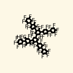 Cc1c(F)c(-c2c(F)c(-c3c(F)c(F)c(-c4c(F)c(F)c(F)c(F)c4F)c(F)c3F)c(F)c(-c3c(F)c(-c4c(F)c(F)c(-c5c(F)c(F)c(F)c(F)c5F)c(F)c4F)c(F)c(-c4c(F)c(F)c(-c5c(F)c(F)c(F)c(F)c5F)c(F)c4F)c3F)c2F)c(F)c(F)c1-c1c(F)c(F)c(F)c(F)c1F